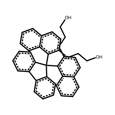 OCCOc1ccc2ccccc2c1C1(c2c(OCCO)ccc3ccccc23)c2ccccc2-c2ccccc21